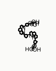 O=[PH](O)OOc1ccc(-c2ccc3ccc4ccc(-c5cccc(-c6ccc7ccc8ccc(-c9ccc(OOP(O)O)cc9)nc8c7n6)c5)nc4c3n2)cc1